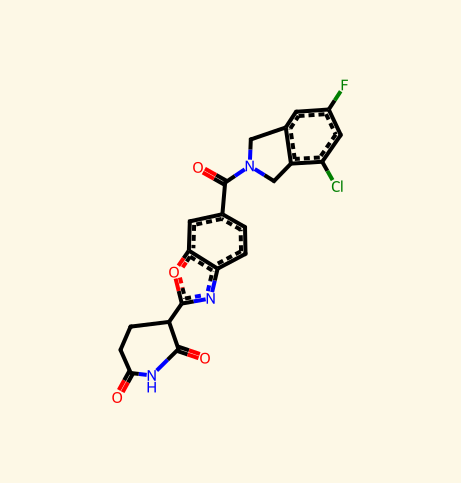 O=C1CCC(c2nc3ccc(C(=O)N4Cc5cc(F)cc(Cl)c5C4)cc3o2)C(=O)N1